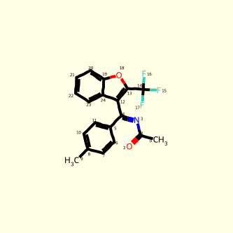 CC(=O)N=C(c1ccc(C)cc1)c1c(C(F)(F)F)oc2ccccc12